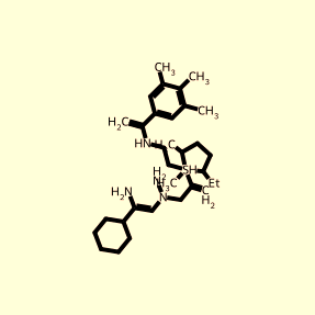 C=C(NCC[SH]1(C)(C(=C)CN(N)/C=C(\N)C2CCCCC2)C(C)CCC1CC)c1cc(C)c(C)c(C)c1